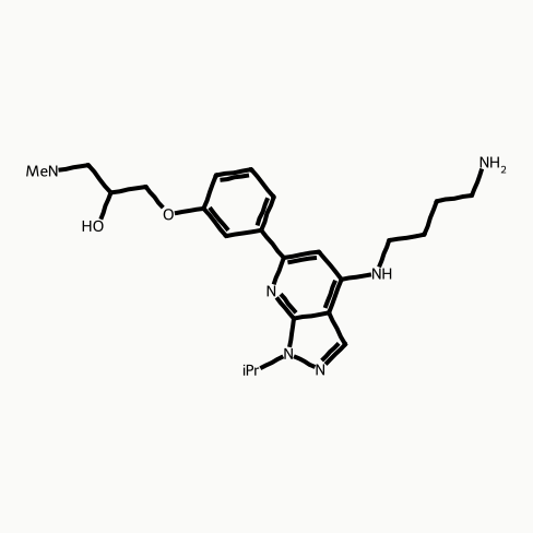 CNCC(O)COc1cccc(-c2cc(NCCCCN)c3cnn(C(C)C)c3n2)c1